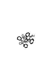 CC(=O)N1c2ccccc2[C@H]2[C@H](CCN2C(=O)[C@H]2CCCC[C@H]2NC(=O)c2ccccc2)[C@@H]1c1ccccc1